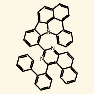 c1ccc(-c2ccccc2-c2nc(-c3cccc4c5ccc6cccc7c8ccccc8n(c34)c5c67)nc3ccc4ccccc4c23)cc1